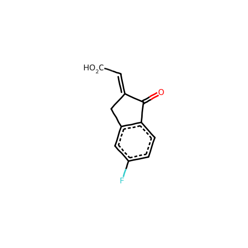 O=C(O)/C=C1\Cc2cc(F)ccc2C1=O